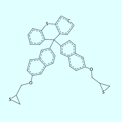 c1ccc2c(c1)Sc1ccccc1C2(c1ccc2cc(OCC3CS3)ccc2c1)c1ccc2cc(OCC3CS3)ccc2c1